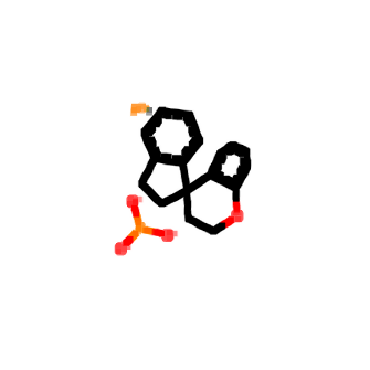 [O-]P([O-])[O-].[P+3].c1ccc2c(c1)CCC21CCOc2ccccc21